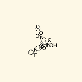 O=C(OC1CCOC1)N1CCC(CS(=O)(=O)N2CCN(c3ccccc3F)CC2)(C(=O)NO)CC1